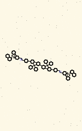 C(=C\c1ccc2c(c1)c1ccccc1n2-c1cccc2ccccc12)/c1ccc(-c2ccc3c(c2)C(c2ccccc2)(c2ccccc2)c2cc(-c4ccc5c(c4)C(c4ccccc4)(c4ccccc4)c4cc(-c6ccc(/C=C/c7ccc8c(c7)c7ccccc7n8-c7cccc8ccccc78)cc6)ccc4-5)ccc2-3)cc1